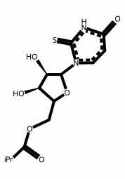 CC(C)C(=O)OCC1OC(n2ccc(=O)[nH]c2=S)[C@H](O)[C@@H]1O